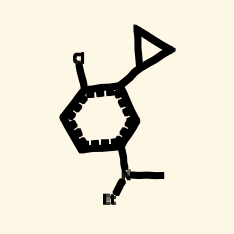 CCN(C)c1ccc(Cl)c(C2CC2)c1